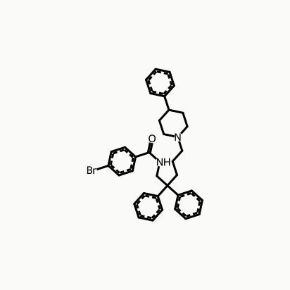 O=C(NCC(CCCN1CCC(c2ccccc2)CC1)(c1ccccc1)c1ccccc1)c1ccc(Br)cc1